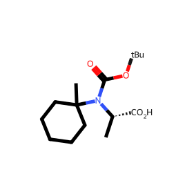 C[C@@H](C(=O)O)N(C(=O)OC(C)(C)C)C1(C)CCCCC1